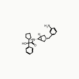 Nc1cccc(CN2CC3[C@H](C2)[C@H]3NC(=O)C(O)(c2ccccc2)C2CCCC2)c1